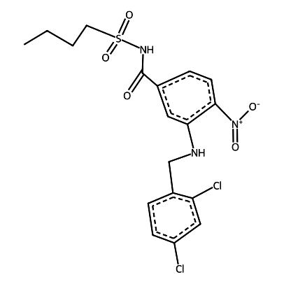 CCCCS(=O)(=O)NC(=O)c1ccc([N+](=O)[O-])c(NCc2ccc(Cl)cc2Cl)c1